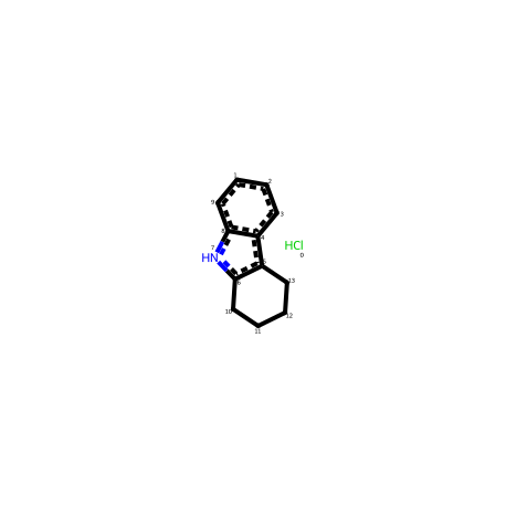 Cl.c1ccc2c3c([nH]c2c1)CCCC3